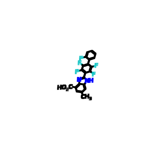 Cc1cc(C(=O)O)c2nc(-c3c(F)c(F)c(-c4ccccc4F)c(F)c3F)[nH]c2c1